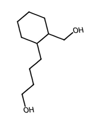 OCCCCC1CCCCC1CO